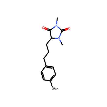 COc1ccc(CCCC2C(=O)N(C)C(=O)N2C)cc1